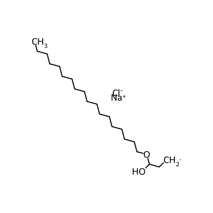 [CH2]CC(O)OCCCCCCCCCCCCCCCCCC.[Cl-].[Na+]